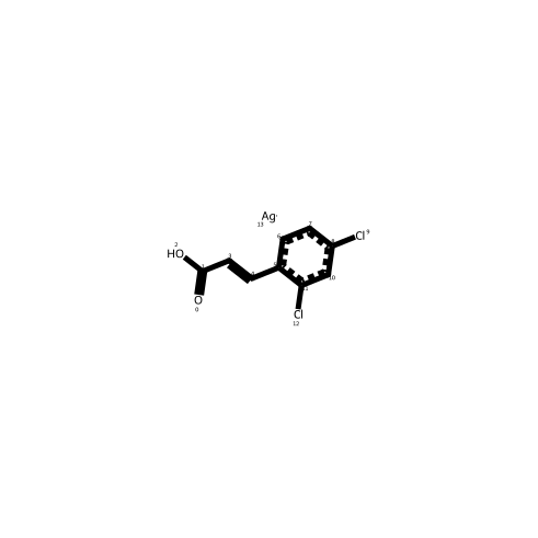 O=C(O)/C=C/c1ccc(Cl)cc1Cl.[Ag]